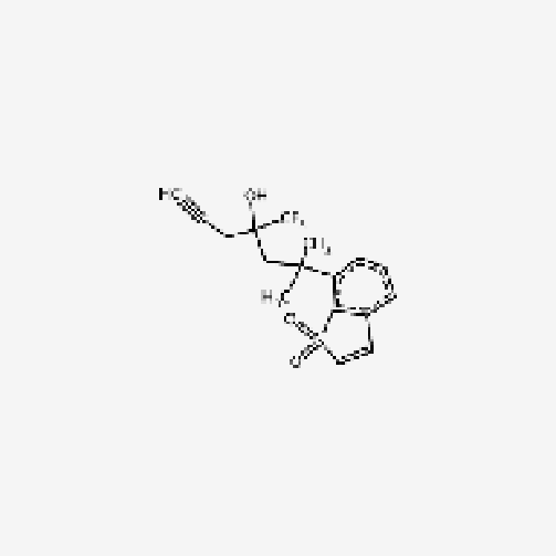 C#CCC(O)(CC(C)(C)c1cccc2c1S(=O)(=O)C=C2)C(F)(F)F